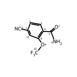 N#Cc1ccc(C(N)=O)c(OC(F)(F)F)c1